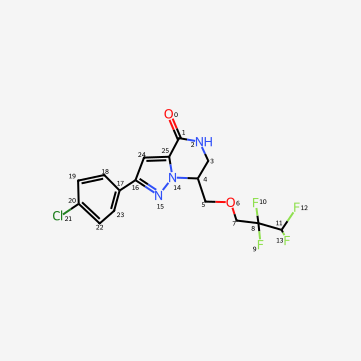 O=C1NCC(COCC(F)(F)C(F)F)n2nc(-c3ccc(Cl)cc3)cc21